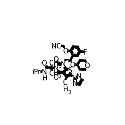 Cc1c(-n2nccn2)sc2c1c(=O)n(C(C)(C)C(=O)NC(C)C)c(=O)n2C[C@H](OC1CCOCC1)c1cc(F)ccc1OCC#N